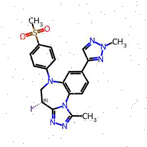 Cc1nnc2n1-c1ccc(-c3cnn(C)n3)cc1N(c1ccc(S(C)(=O)=O)cc1)C[C@H]2I